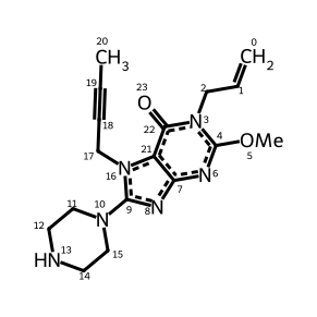 C=CCn1c(OC)nc2nc(N3CCNCC3)n(CC#CC)c2c1=O